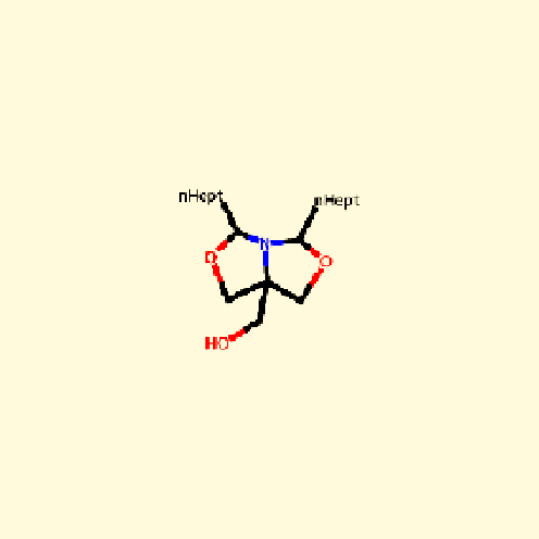 CCCCCCCC1OCC2(CO)COC(CCCCCCC)N12